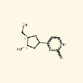 O=c1nc(C2C[C@H](O)[C@@H](CO)O2)cc[nH]1